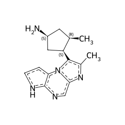 Cc1nc2cnc3[nH]ccc3n2c1[C@H]1C[C@@H](N)C[C@H]1C